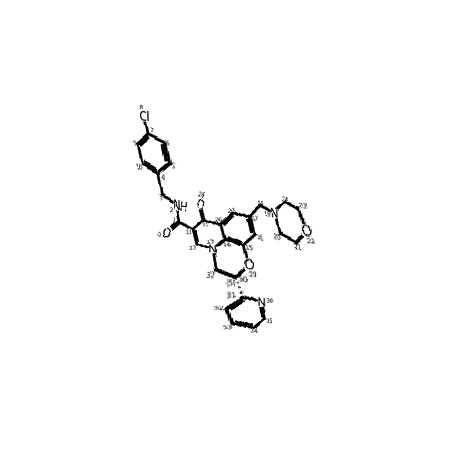 O=C(NCc1ccc(Cl)cc1)c1cn2c3c(cc(CN4CCOCC4)cc3c1=O)O[C@H](c1ccccn1)C2